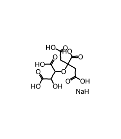 O=C(O)CC(CC(=O)O)(OC(C(=O)O)C(O)C(=O)O)C(=O)O.[NaH]